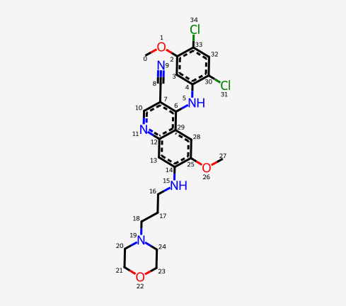 COc1cc(Nc2c(C#N)cnc3cc(NCCCN4CCOCC4)c(OC)cc23)c(Cl)cc1Cl